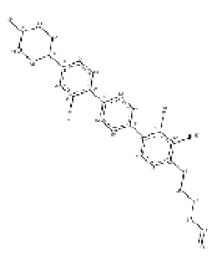 C=CCCCCc1ccc(-c2ccc(-c3ccc(C4CCC(C)OC4)cc3F)cc2)c(F)c1F